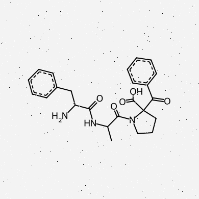 CC(NC(=O)C(N)Cc1ccccc1)C(=O)N1CCCC1(C(=O)O)C(=O)c1ccccc1